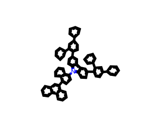 c1ccc(-c2ccc(-c3ccc4c(c3)c3cc(-c5ccc(-c6ccccc6)cc5-c5ccccc5)ccc3n4-c3ccc(-c4cc5ccccc5c5ccccc45)c4ccccc34)c(-c3ccccc3)c2)cc1